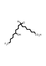 CC(=O)C(Cl)(CCCCCCC(=O)O)CCCC(O)CCCCC(F)(F)F